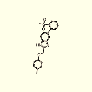 Cc1ccc(OCc2nc3cc(-c4ccccc4S(C)(=O)=O)ccc3[nH]2)cc1